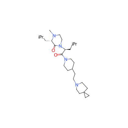 CC(C)C[C@H]1C(=O)N([C@@H](CC(C)C)C(=O)N2CCC(CCN3CCC4(CC3)CC4)CC2)CCN1C